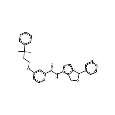 CC(C)(CCOc1cccc(C(=O)Nc2ccn3c2CSC3c2cccnc2)c1)c1ccccc1